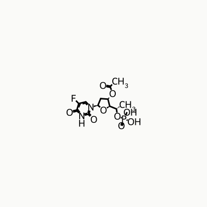 CC(=O)O[C@H]1C[C@H](n2cc(F)c(=O)[nH]c2=O)O[C@@H]1[C@H](C)OP(=O)(O)O